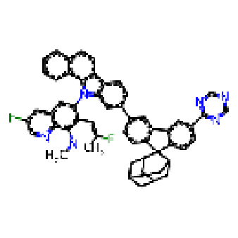 C=Nc1c(/C=C(\C)F)c(-n2c3cc(-c4ccc5c(c4)-c4cc(-c6ncncn6)ccc4C54C5CC6CC(C5)CC4C6)ccc3c3ccc4ccccc4c32)cc2cc(F)cnc12